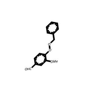 COc1cc(C=O)ccc1OOCc1ccccc1